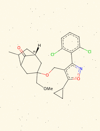 COCC1(OCc2c(-c3c(Cl)cccc3Cl)noc2C2CC2)CC2C(=O)[C@H](CC2C)C1